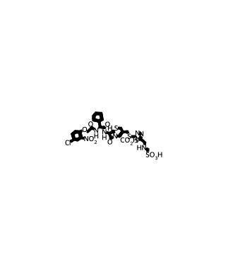 O=C(COc1ccc(Cl)cc1[N+](=O)[O-])N[C@@H](C(=O)NC1C(=O)N2C(C(=O)O)=C(CSc3nnc(CNCS(=O)(=O)O)s3)CS[C@@H]12)c1ccccc1